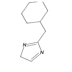 C1=NC(CC2CCCCC2)=NC1